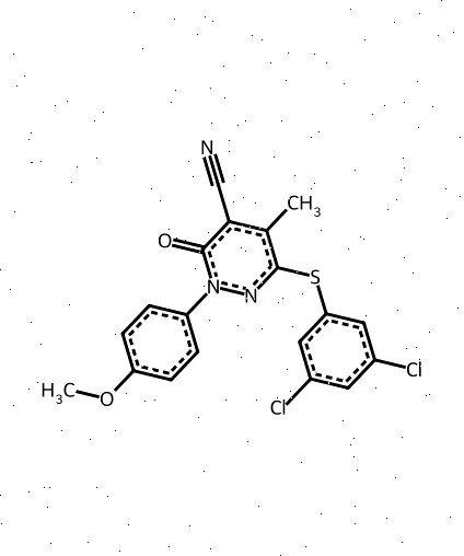 COc1ccc(-n2nc(Sc3cc(Cl)cc(Cl)c3)c(C)c(C#N)c2=O)cc1